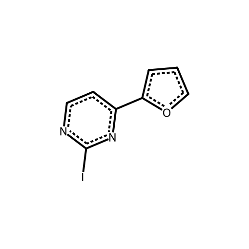 Ic1nccc(-c2ccco2)n1